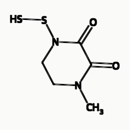 CN1CCN(SS)C(=O)C1=O